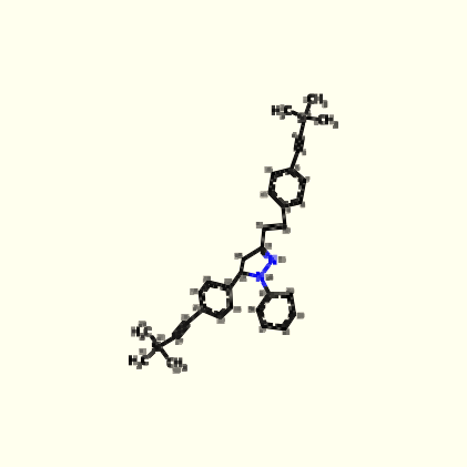 C[Si](C)(C)C#Cc1ccc(C=CC2=NN(c3ccccc3)C(c3ccc(C#C[Si](C)(C)C)cc3)C2)cc1